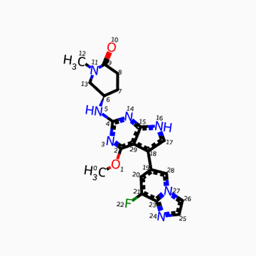 COc1nc(N[C@@H]2CCC(=O)N(C)C2)nc2[nH]cc(-c3cc(F)c4nccn4c3)c12